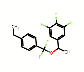 CCc1ccc(C(F)(F)OC(C)c2cc(F)c(F)c(F)c2)cc1